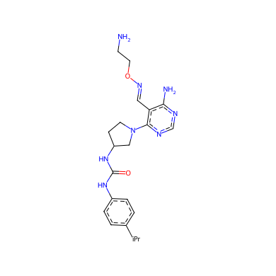 CC(C)c1ccc(NC(=O)NC2CCN(c3ncnc(N)c3C=NOCCN)C2)cc1